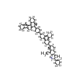 C=C(/C=C\c1ccc2ccc(-c3ccc4c5c(c6c(c4c3)C=CCC6)CC(c3ccc(C4=NC6C=CC=CC6c6c4ccc4c6sc6ccccc64)cc3)C=C5)nc2c1C)c1ccccc1